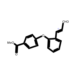 COC(=O)c1ccc(Oc2ccccc2/C=C/C=O)cc1